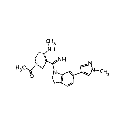 CNC1=C(C(=N)N2CCc3ccc(-c4cnn(C)c4)cc32)CN(C(C)=O)CC1